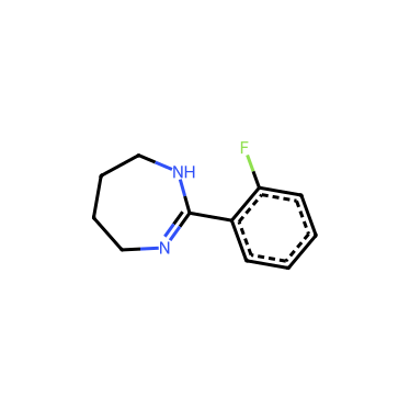 Fc1ccccc1C1=NCCCCN1